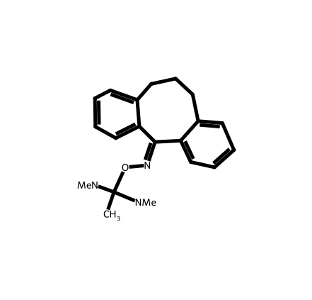 CNC(C)(NC)ON=C1c2ccccc2CCCc2ccccc21